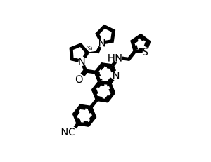 N#Cc1ccc(-c2ccc3nc(NCc4cccs4)cc(C(=O)N4CCC[C@H]4CN4CCCC4)c3c2)cc1